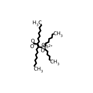 CCCCCCCCC(C(=O)[O-])=C(CCCCCCCC)C(=O)[O-].CCCCC[CH2][Sn+2][CH2]CCCCC